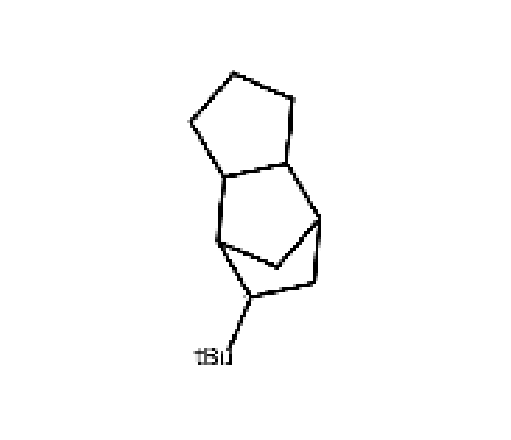 CC(C)(C)[C]1CC2CC1C1CCCC21